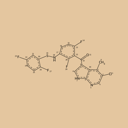 Cc1c(Cl)cnc2[nH]cc(C(=O)c3c(F)ccc(NSc4cc(F)ccc4F)c3F)c12